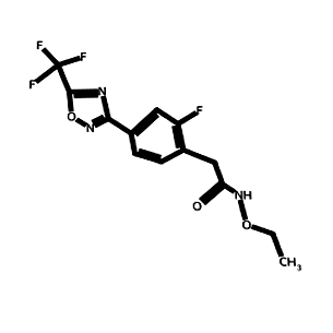 CCONC(=O)Cc1ccc(-c2noc(C(F)(F)F)n2)cc1F